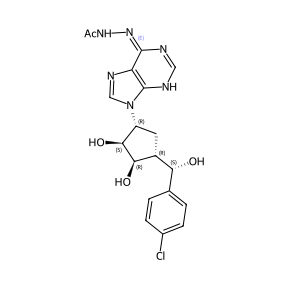 CC(=O)N/N=c1/nc[nH]c2c1ncn2[C@@H]1C[C@H]([C@H](O)c2ccc(Cl)cc2)[C@@H](O)[C@H]1O